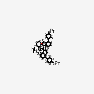 CC(C)c1ccc(-c2cccc3c2C=C[CH]3[Hf]([CH3])([CH3])(=[C]2CCCCC2)[CH]2C=Cc3c(-c4ccc(C(C)C)cc4)cccc32)cc1